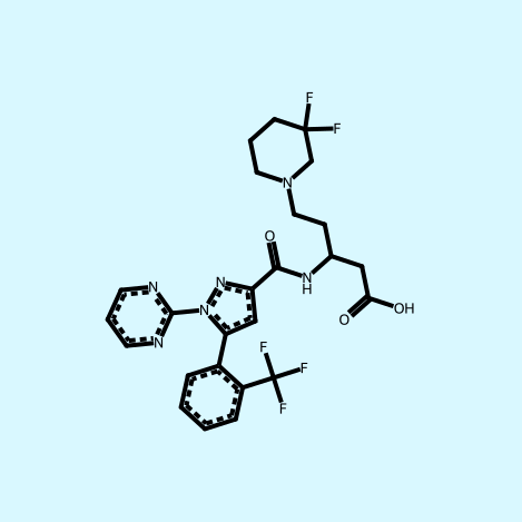 O=C(O)CC(CCN1CCCC(F)(F)C1)NC(=O)c1cc(-c2ccccc2C(F)(F)F)n(-c2ncccn2)n1